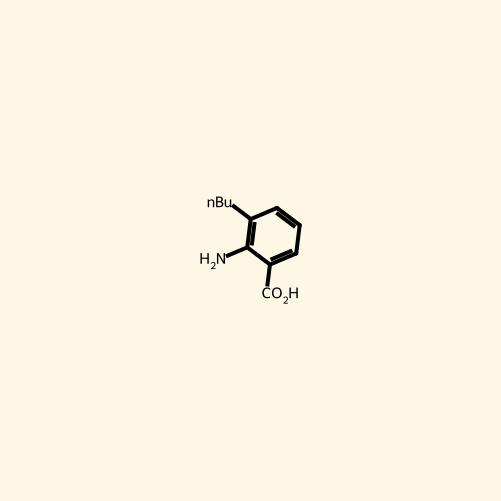 CCCCc1cccc(C(=O)O)c1N